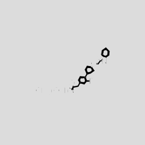 CN(O)C(=O)Cc1ccc(-c2ccc(OCc3nc4ccccc4s3)cc2)c(F)c1